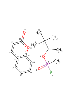 CC(OP(C)(=O)F)C(C)(C)C.O=c1ccc2ccccc2o1